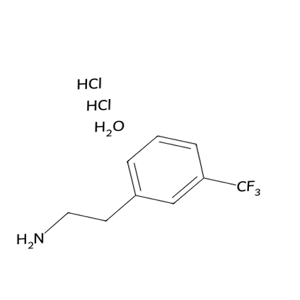 Cl.Cl.NCCc1cccc(C(F)(F)F)c1.O